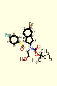 CC(C)(C)OC(=O)N(CCO)C1Cc2cc(Br)ccc2C1[S+]([O-])c1ccc(F)cc1